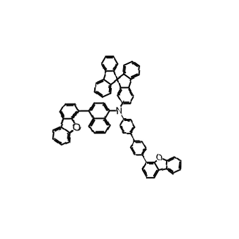 c1ccc2c(c1)-c1ccccc1C21c2ccccc2-c2ccc(N(c3ccc(-c4ccc(-c5cccc6c5oc5ccccc56)cc4)cc3)c3ccc(-c4cccc5c4oc4ccccc45)c4ccccc34)cc21